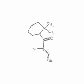 CC(C)(C)/C=C(\C#N)C(=O)N1CCCCC1(C)C